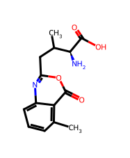 Cc1cccc2nc(CC(C)[C@H](N)C(=O)O)oc(=O)c12